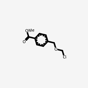 COC(=O)c1ccc(COCCl)cc1